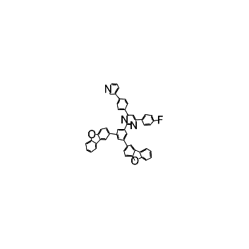 Fc1ccc(-c2cc(-c3ccc(-c4cccnc4)cc3)nc(-c3cc(-c4ccc5oc6ccccc6c5c4)cc(-c4ccc5oc6ccccc6c5c4)c3)n2)cc1